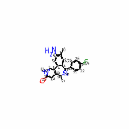 Cc1cc2c(cc1N)-c1cn(C)c(=O)cc1[C@H](C)N=C2c1ccc(F)cc1